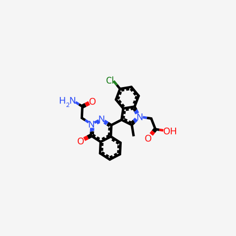 Cc1c(-c2nn(CC(N)=O)c(=O)c3ccccc23)c2cc(Cl)ccc2n1CC(=O)O